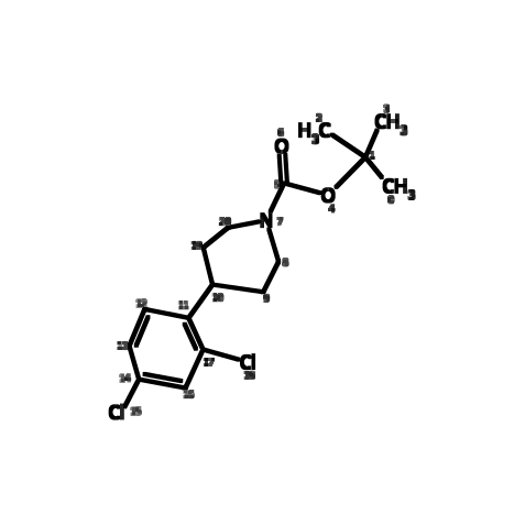 CC(C)(C)OC(=O)N1CCC(c2ccc(Cl)cc2Cl)CC1